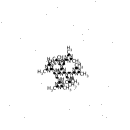 Cc1nc(C)nc(NCN(CNc2nc(C)nc(C)n2)c2nc(N(CNc3nc(C)nc(C)n3)CNC(C)(C)C)nc(N(CNc3nc(C)nc(C)n3)CNC(C)(C)C)n2)n1